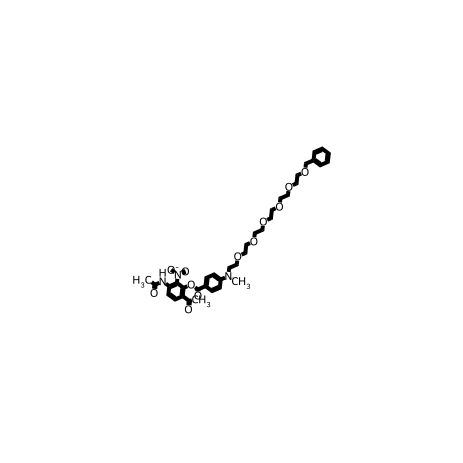 CC(=O)Nc1ccc(C(C)=O)c(OC(=O)c2ccc(N(C)CCOCCOCCOCCOCCOCCOCc3ccccc3)cc2)c1[N+](=O)[O-]